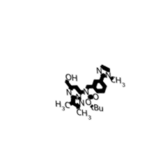 Cc1nn2c(N(Cc3cccc(-c4nccn4C)c3)C(=O)OC(C)(C)C)cc(CO)nc2c1C